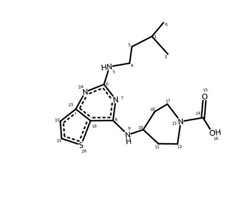 CC(C)CCNc1nc(NC2CCN(C(=O)O)CC2)c2sccc2n1